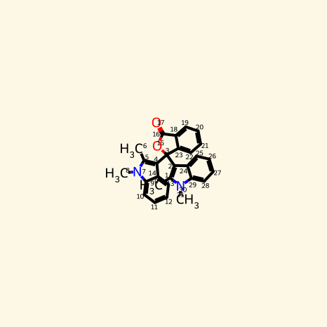 Cc1c(C2(c3c(C)n(C)c4ccccc34)OC(=O)c3ccccc32)c2ccccc2n1C